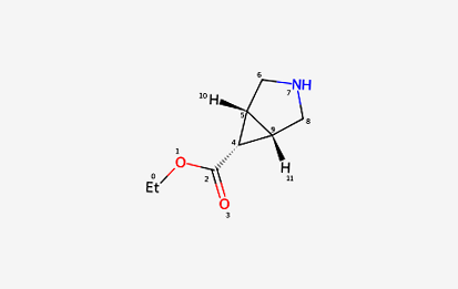 CCOC(=O)[C@@H]1[C@@H]2CNC[C@@H]21